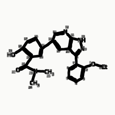 CCOc1ccccc1-c1n[nH]c2ncc(-c3ccc(O)c(C(=O)N(C)C)c3)cc12